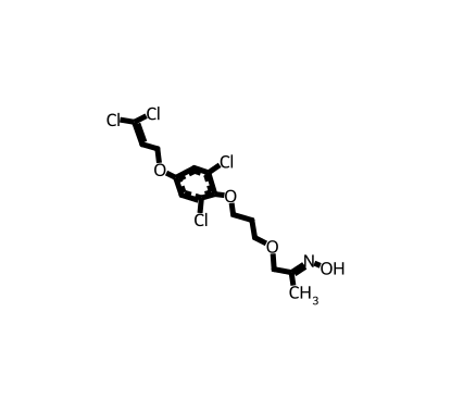 CC(COCCCOc1c(Cl)cc(OCC=C(Cl)Cl)cc1Cl)=NO